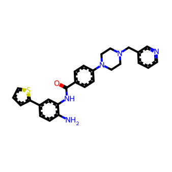 Nc1ccc(-c2cccs2)cc1NC(=O)c1ccc(N2CCN(Cc3cccnc3)CC2)cc1